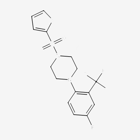 C[C@@H]1CN(c2ccc(F)cc2C(F)(F)F)CCN1S(=O)(=O)c1cccs1